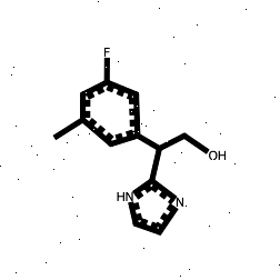 Cc1cc(F)cc(C(CO)c2ncc[nH]2)c1